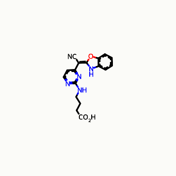 N#CC(=C1Nc2ccccc2O1)c1ccnc(NCCCC(=O)O)n1